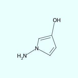 Nn1ccc(O)c1